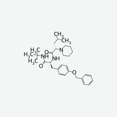 CC(C)C[C@@H](C(=O)N[C@@H](Cc1ccc(OCc2ccccc2)cc1)C(=O)NC(C)(C)C)N1CCCCC1